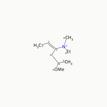 C/C=C(\CC(C)OC)N(C)CC